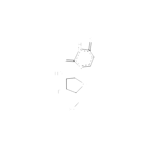 OC[C@H]1O[C@@H](n2ccc(=S)[nH]c2=S)[C@@H](O)[C@H]1F